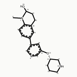 CN1c2ccc(-c3cncc(O[C@H]4CCCNC4)c3)cc2CCC1O